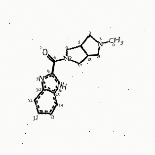 CN1CC2CN(C(=O)c3nc4ccccc4[nH]3)CC2C1